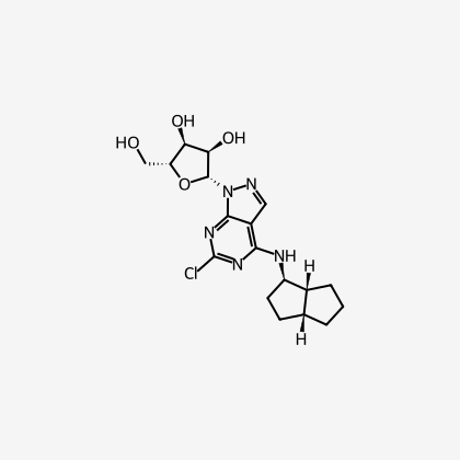 OC[C@H]1O[C@@H](n2ncc3c(N[C@@H]4CC[C@H]5CCC[C@H]54)nc(Cl)nc32)[C@H](O)[C@@H]1O